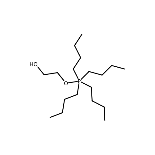 CCCCP(CCCC)(CCCC)(CCCC)OCCO